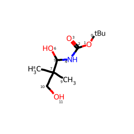 CC(C)(C)OC(=O)NC(O)C(C)(C)CO